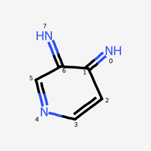 N=C1C=CN=CC1=N